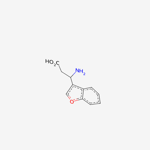 NC(CC(=O)O)c1coc2ccccc12